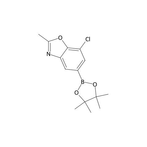 Cc1nc2cc(B3OC(C)(C)C(C)(C)O3)cc(Cl)c2o1